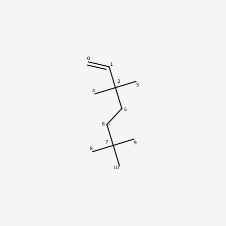 C=CC(C)(C)C[CH]C(C)(C)C